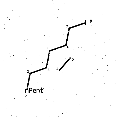 CC.CCCCCCCCCCI